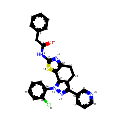 O=C(Cc1ccccc1)Nc1nc2c(s1)-c1c(c(-c3cccnc3)nn1-c1ccccc1Cl)CC2